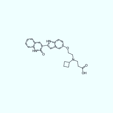 O=C(O)CCN(CCOc1ccc2[nH]c(-c3cc4ccccc4[nH]c3=O)cc2c1)C1CCC1